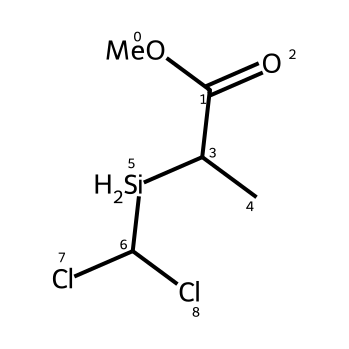 COC(=O)C(C)[SiH2]C(Cl)Cl